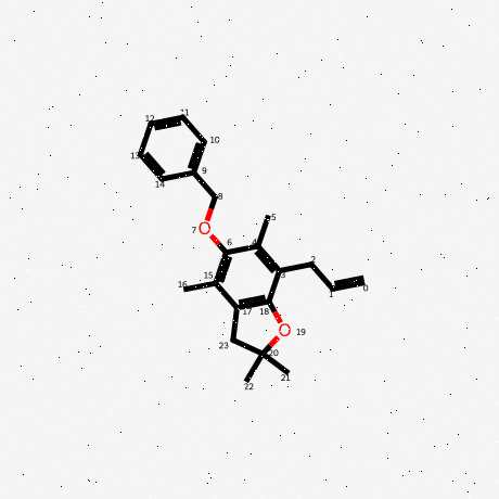 C=CCc1c(C)c(OCc2ccccc2)c(C)c2c1OC(C)(C)C2